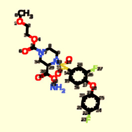 COCCOC(=O)N1CCN(S(=O)(=O)c2ccc(Oc3ccc(F)cc3)c(F)c2)[C@@H](C(=O)ON)C1